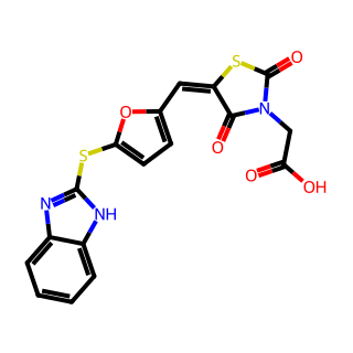 O=C(O)CN1C(=O)SC(=Cc2ccc(Sc3nc4ccccc4[nH]3)o2)C1=O